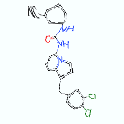 N#Cc1cccc(NC(=O)Nc2cccc3c(Cc4ccc(Cl)c(Cl)c4)ccn23)c1